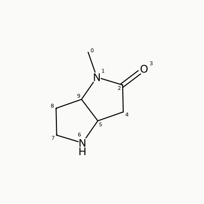 CN1C(=O)CC2NCCC21